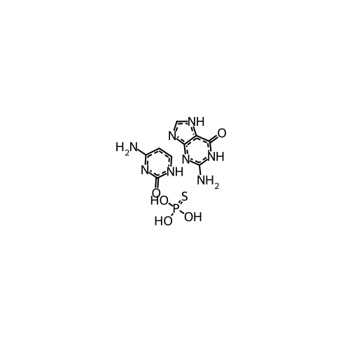 Nc1cc[nH]c(=O)n1.Nc1nc2nc[nH]c2c(=O)[nH]1.OP(O)(O)=S